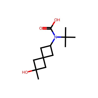 CC1(O)CC2(CC(N(C(=O)O)C(C)(C)C)C2)C1